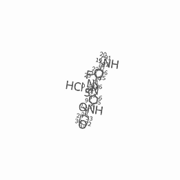 Cl.O=C(Nc1ccc2c(c1)sc1nc(-c3ccc(C4CCCN4)cc3F)cn12)C1CCOCC1